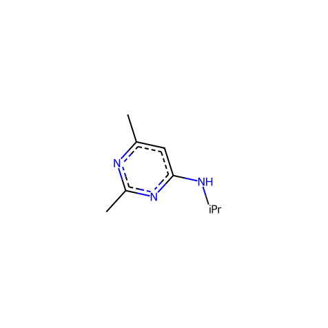 Cc1cc(NC(C)C)nc(C)n1